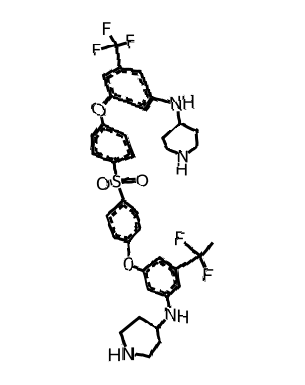 CC(F)(F)c1cc(NC2CCNCC2)cc(Oc2ccc(S(=O)(=O)c3ccc(Oc4cc(NC5CCNCC5)cc(C(F)(F)F)c4)cc3)cc2)c1